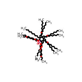 CCCCCCCCCCOP(=O)(OCCCCCCCCCC)C1(CCCCCCCCCC)C(CCCCCCCCCC)C(CCCCCCCCCC)(CCCCCCCCCC)C(CCCCCCCCCC)(CCCCCCCCCC)C(CCCCCCCCCC)(CCCCCCCCCC)C1(CCCCCCCCCC)CCCCCCCCCC